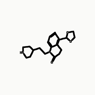 O=C1CCc2c(C3OCCO3)cccc2N1CCC1CCNCC1